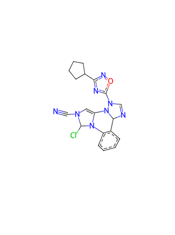 N#CN1C=C2N(c3ccccc3C3N=CN(c4nc(C5CCCC5)no4)N23)C1Cl